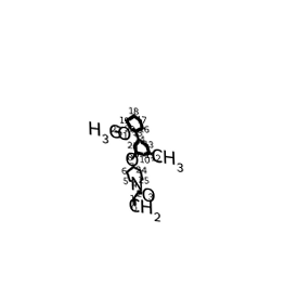 C=CC(=O)N1CCC(Oc2cc(C)cc(-c3ccccc3OC)c2)CC1